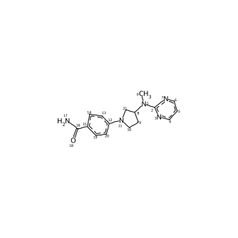 CN(c1ncccn1)C1CCN(c2ccc(C(N)=O)cc2)C1